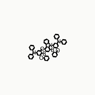 c1ccc(N(c2ccccc2)c2cc3c4c(c2)Oc2c(cc5c6c2c2ccccc2n6-c2cc(N(c6ccccc6)c6ccccc6)cc6c2B5c2ccccc2O6)B4c2ccccc2O3)cc1